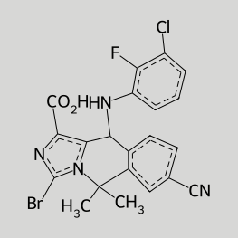 CC1(C)c2cc(C#N)ccc2C(Nc2cccc(Cl)c2F)c2c(C(=O)O)nc(Br)n21